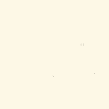 CC(C)c1ccc(NS(=O)(=O)c2cc(Br)cc3c2OCCC(=O)N3)cc1